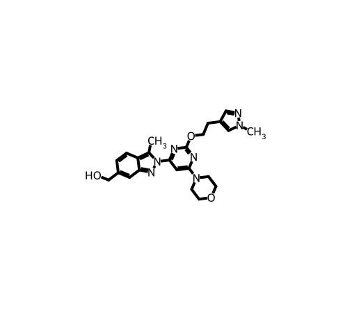 Cc1c2ccc(CO)cc2nn1-c1cc(N2CCOCC2)nc(OCCc2cnn(C)c2)n1